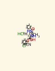 CC(C)(CNC(=O)c1ccccc1)NC[C@@H](O)COc1cccc(Cl)c1C#N.Cl